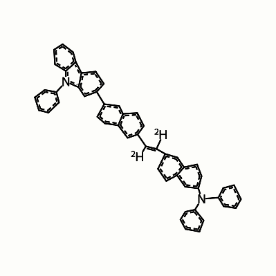 [2H]/C(=C(/[2H])c1ccc2cc(N(c3ccccc3)c3ccccc3)ccc2c1)c1ccc2cc(-c3ccc4c5ccccc5n(-c5ccccc5)c4c3)ccc2c1